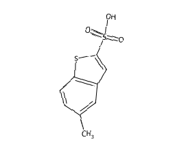 Cc1ccc2sc(S(=O)(=O)O)cc2c1